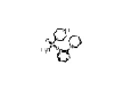 NS(=O)(=O)N1CCNCC1.c1cnc(N2CCCCC2)nc1